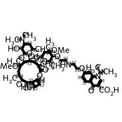 CO[C@]1(C)C[C@@H](C)C(=O)[C@@H](O)[C@@]2(O)CC[C@H]2OC(=O)[C@H](C)[C@@H](O[C@H]2C[C@@](C)(OC)[C@@H](OCCNCCOc3ccc4c(=O)c(C(=O)O)cn(N(C)C)c4c3)[C@H](C)O2)[C@H](C)[C@H]1O[C@@H]1O[C@H](C)C[C@H](N(C)C)[C@H]1O